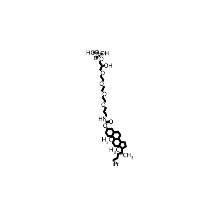 CC(C)CCC[C@H](C)C1CCC2C3CC=C4C[C@H](OC(=O)NCCCOCCOCCOCCOCC(O)COP(=O)(O)OO)CC[C@@]4(C)C3CC[C@]21C